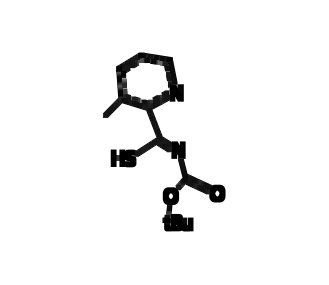 Cc1cccnc1C(S)=NC(=O)OC(C)(C)C